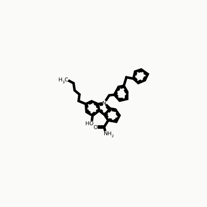 CCCCCc1cc(O)c2c3c(C(N)=O)cccc3n(Cc3cccc(Cc4ccccc4)c3)c2c1